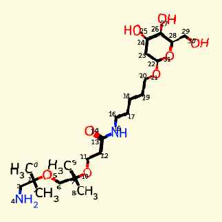 CC(C)(CN)OCC(C)(C)OCCC(=O)NCCCCCO[C@H]1C[C@@H](O)[C@@H](O)[C@@H](CO)O1